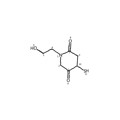 O=C1CN(CCO)C(=O)CC1S